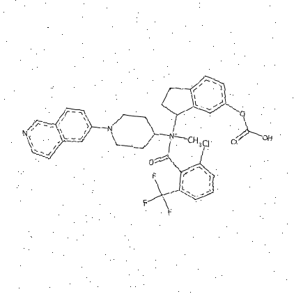 C[N+](C(=O)c1c(Cl)cccc1C(F)(F)F)(C1CCN(c2ccc3cnccc3c2)CC1)C1CCc2ccc(OC(=O)O)cc21